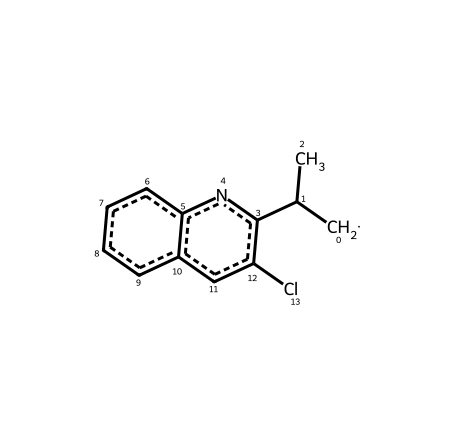 [CH2]C(C)c1nc2ccccc2cc1Cl